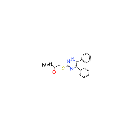 CNC(=O)CSc1nnc(-c2ccccc2)c(-c2ccccc2)n1